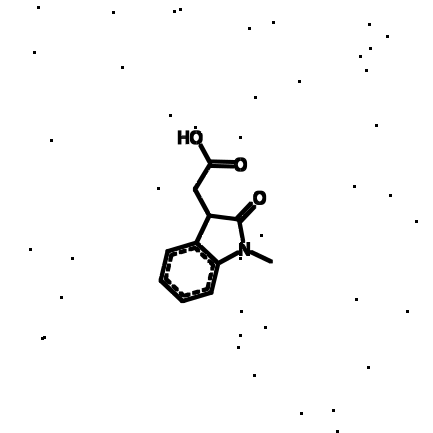 CN1C(=O)C(CC(=O)O)c2ccccc21